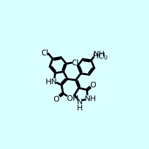 Cl.Nc1ccc(C(=C2CNNC2=O)c2c(C(=O)O)[nH]c3cc(Cl)cc(Cl)c23)cc1